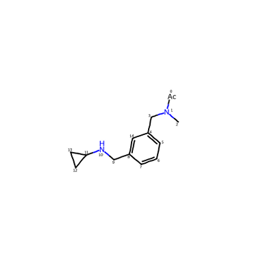 CC(=O)N(C)Cc1cccc(CNC2CC2)c1